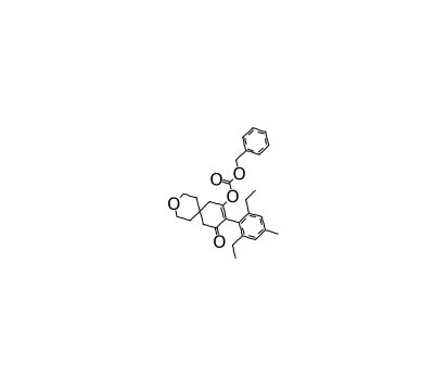 CCc1cc(C)cc(CC)c1C1=C(OC(=O)OCc2ccccc2)CC2(CCOCC2)CC1=O